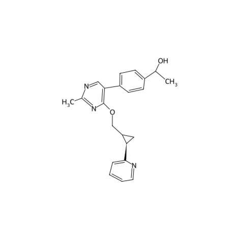 Cc1ncc(-c2ccc(C(C)O)cc2)c(OCC2C[C@H]2c2ccccn2)n1